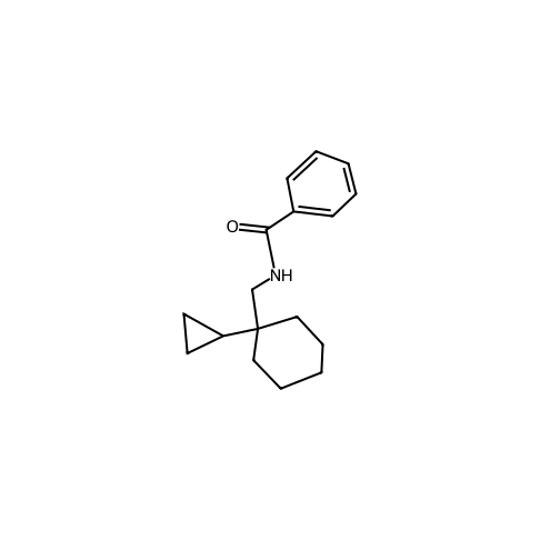 O=C(NCC1(C2CC2)CCCCC1)c1ccccc1